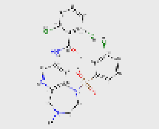 CN1CCN(S(=O)(=O)c2cccc(Cl)c2)c2cc(NC(=O)c3c(Cl)cccc3Cl)cnc2C1